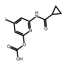 O=C(O)Oc1cc(I)cc(NC(=O)C2CC2)n1